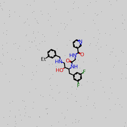 CCc1cccc(CNCC(O)C(Cc2cc(F)cc(F)c2)NC(=O)CNC(=O)c2cccnc2)c1